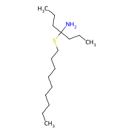 CCCCCCCCCSC(N)(CCC)CCC